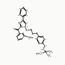 COc1cccc(C(=O)c2nc(-c3ccccc3)cn2CCCCc2ccc(COC(C)(C)C(=O)O)cc2)c1